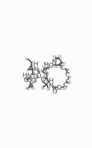 CCC1C[C@]1(NC(=O)[C@@H]1C[C@@H]2CN1C(=O)[C@H](C(C)(C)C)NC(=O)OCCCCCCCc1cccnc1O2)C(=O)NS(=O)(=O)C1CC1